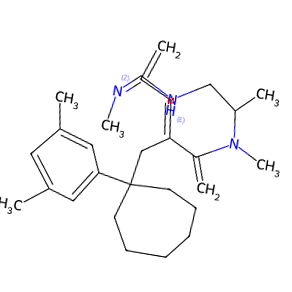 C=C/C=C(\CC1(c2cc(C)cc(C)c2)CCCCCC1)C(=C)N(C)C(C)CN/C=N\C